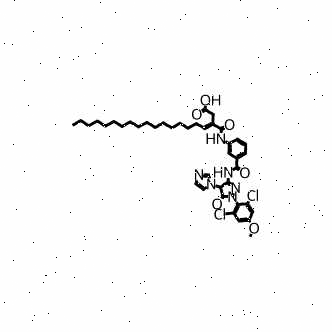 CCCCCCCCCCCCCCCCC=C(CC(=O)O)C(=O)Nc1cccc(C(=O)NC2=NN(c3c(Cl)cc(OC)cc3Cl)C(=O)C2n2ccnc2)c1